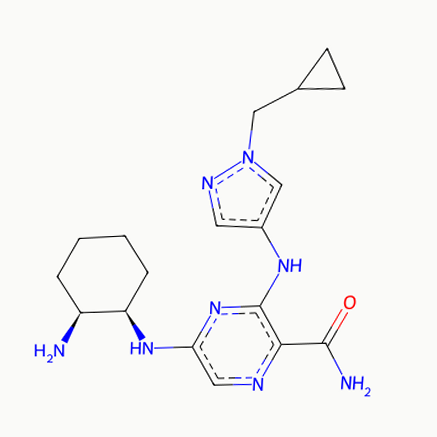 NC(=O)c1ncc(N[C@@H]2CCCC[C@@H]2N)nc1Nc1cnn(CC2CC2)c1